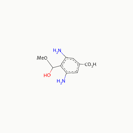 COC(O)c1c(N)cc(C(=O)O)cc1N